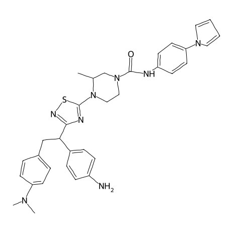 CC1CN(C(=O)Nc2ccc(-n3cccc3)cc2)CCN1c1nc(C(Cc2ccc(N(C)C)cc2)c2ccc(N)cc2)ns1